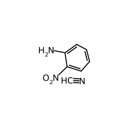 C#N.Nc1ccccc1[N+](=O)[O-]